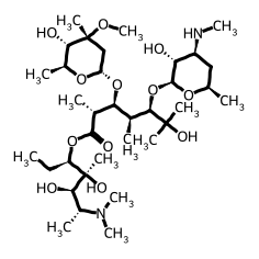 CC[C@@H](OC(=O)[C@H](C)[C@@H](O[C@H]1C[C@@](C)(OC)[C@@H](O)[C@H](C)O1)[C@H](C)[C@@H](O[C@@H]1O[C@H](C)C[C@H](NC)[C@H]1O)C(C)(C)O)[C@@](C)(O)[C@H](O)[C@@H](C)N(C)C